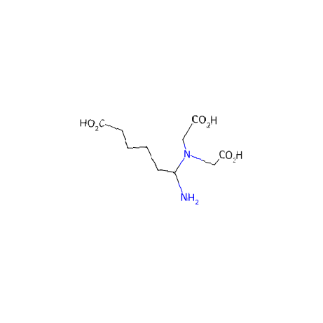 NC(CCCCC(=O)O)N(CC(=O)O)CC(=O)O